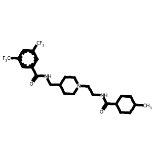 CC1CCC(C(=O)NCCN2CCC(CNC(=O)c3cc(C(F)(F)F)cc(C(F)(F)F)c3)CC2)CC1